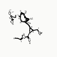 CCOC(=O)C1C(CBr)C1c1cccc([N+](=O)[O-])c1